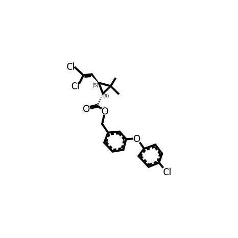 CC1(C)[C@H](C=C(Cl)Cl)[C@H]1C(=O)OCc1cccc(Oc2ccc(Cl)cc2)c1